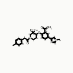 Cc1ccc(CC(=O)N2CCC(Oc3ccc(-c4cn(C)cn4)cc3C(N)=O)C(F)(F)C2)cc1